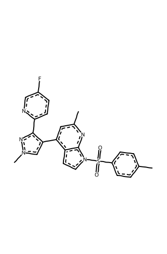 Cc1ccc(S(=O)(=O)n2ccc3c(-c4cn(C)nc4-c4ccc(F)cn4)cc(C)nc32)cc1